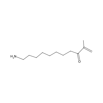 C=C(C)C(=O)CCCCCCCCN